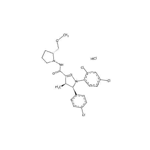 COC[C@H]1CCCN1NC(=O)C1=NN(c2ccc(Cl)cc2Cl)[C@@H](c2ccc(Cl)cc2)[C@H]1C.Cl